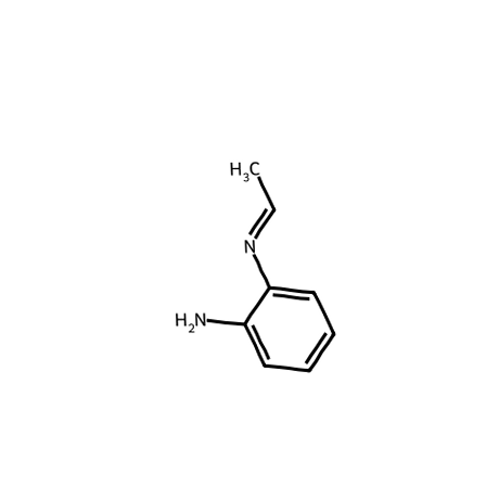 CC=Nc1ccccc1N